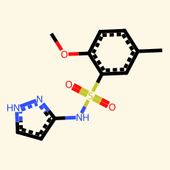 COc1ccc(C)cc1S(=O)(=O)Nc1cc[nH]n1